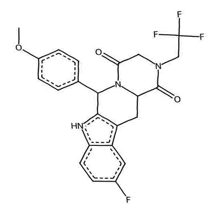 COc1ccc(C2c3[nH]c4ccc(F)cc4c3CC3C(=O)N(CC(F)(F)F)CC(=O)N32)cc1